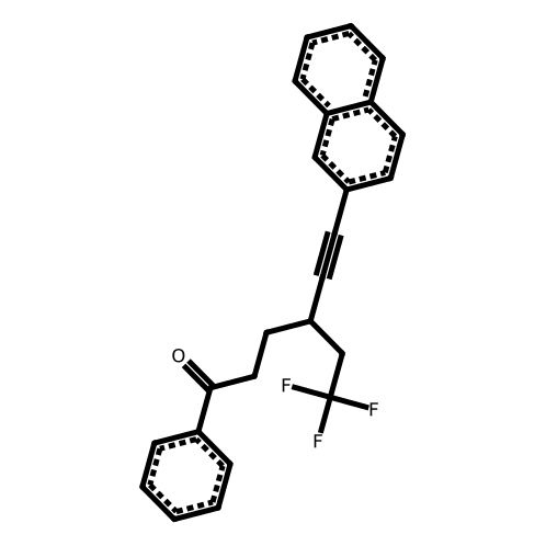 O=C(CCC(C#Cc1ccc2ccccc2c1)CC(F)(F)F)c1ccccc1